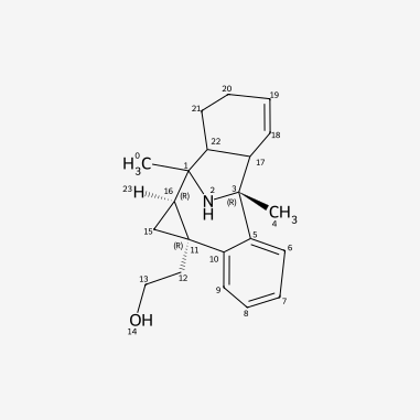 CC12N[C@@](C)(c3ccccc3[C@@]3(CCO)C[C@@H]13)C1C=CCCC12